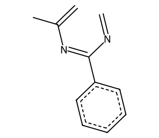 C=N/C(=N\C(=C)C)c1ccccc1